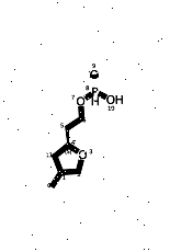 CC1CO[C@H](CCO[PH](=O)O)C1